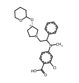 CN(c1ccc(C(=O)O)c(Cl)c1)C(CN1CC[C@H](OC2CCCCO2)C1)c1ccccc1